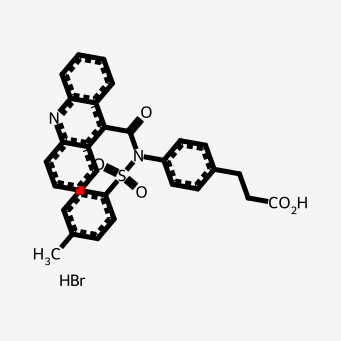 Br.Cc1ccc(S(=O)(=O)N(C(=O)c2c3ccccc3nc3ccccc23)c2ccc(CCC(=O)O)cc2)cc1